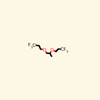 CC(COCCC(F)(F)F)OCCC(F)(F)F